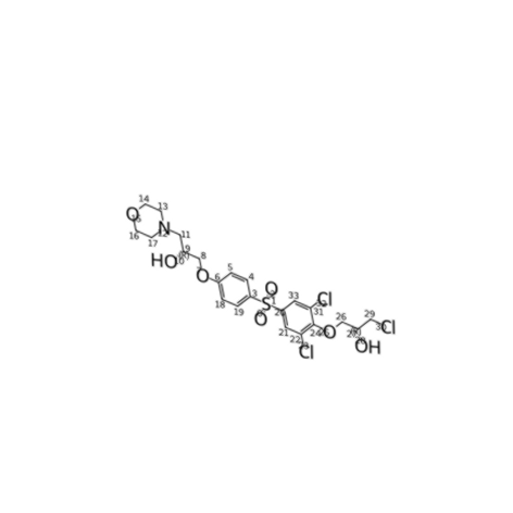 O=S(=O)(c1ccc(OC[C@H](O)CN2CCOCC2)cc1)c1cc(Cl)c(OC[C@@H](O)CCl)c(Cl)c1